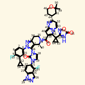 C[C@H]1c2c(nn(-c3ccc(F)c(C4CC4)c3)c2-n2ccn(-c3ccc4c(cnn4C)c3F)c2=O)CCN1C(=O)c1cc2nc([C@@H]3CCOC(C)(C)C3)ccn2c1C1(c2noc(=O)[nH]2)CC1